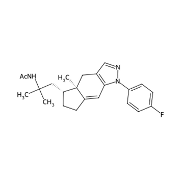 CC(=O)NC(C)(C)C[C@H]1CCC2=Cc3c(cnn3-c3ccc(F)cc3)C[C@@]21C